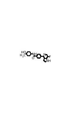 CC1(O)CCC(NC(=O)c2ccc(-c3ncc(F)c4[nH]ccc34)cc2)CC1